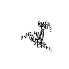 COc1cc(-n2cnc(Nc3nc(N4CCC[C@H]4C(N)=O)nc4sc(CN5CCC(O)CC5)cc34)c2)cc(OC)c1OC